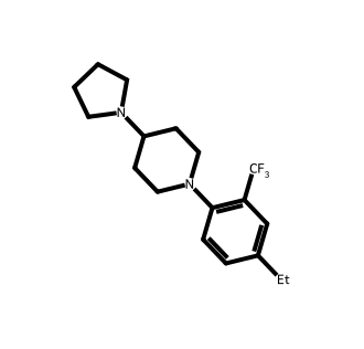 CCc1ccc(N2CCC(N3CCCC3)CC2)c(C(F)(F)F)c1